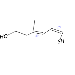 C/C(=C\C=C/S)CCO